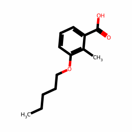 CCCCCOc1cccc(C(=O)O)c1C